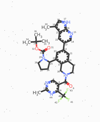 Cc1ncc(C(=O)N2CCc3cc(-c4cnc5[nH]cc(C)c5c4)cc(C4CCCN4C(=O)OC(C)(C)C)c3C2)c(C(F)(F)F)n1